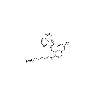 COCCCCCOc1ccc2cc(Br)ccc2c1Cn1cnc2c(N)ncnc21